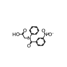 O=C(O)CN(C(=O)c1cccc([N+](=O)[O-])c1)c1ccccc1